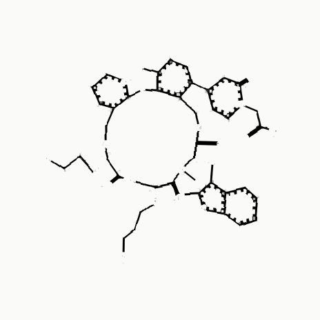 Cc1[nH]c2ccccc2c1C[C@H]1C(=O)NCc2c(-c3ccn(CC(=O)O)c(=O)c3)ccc(Cl)c2Sc2ncccc2CN[C@@H](CCCN)C(=O)N[C@@H](CCCCN)C(=O)N1C